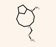 COC[C@H]1CCCC2CCC(C2)[C@@H](N)CC1